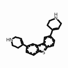 C1=C(c2ccc3sc4ccc(C5=CCNCC5)cc4c3c2)CCNC1